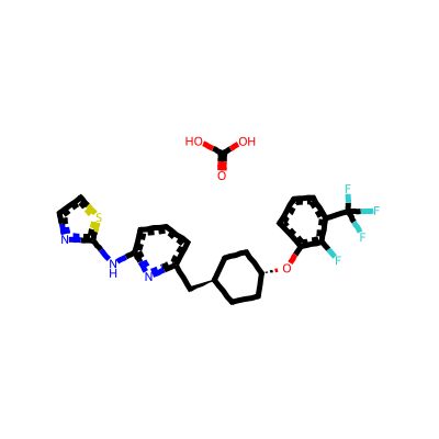 Fc1c(O[C@H]2CC[C@H](Cc3cccc(Nc4nccs4)n3)CC2)cccc1C(F)(F)F.O=C(O)O